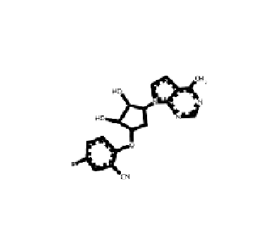 Cc1ncnc2c1ccn2C1CC(Oc2ccc(F)cc2C#N)C(O)C1O